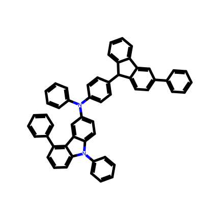 c1ccc(-c2ccc3c(c2)-c2ccccc2C3c2ccc(N(c3ccccc3)c3ccc4c(c3)c3c(-c5ccccc5)cccc3n4-c3ccccc3)cc2)cc1